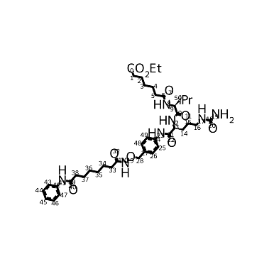 CCOC(=O)CCCCCC(=O)N[C@H](C(=O)N[C@@H](CCCNC(N)=O)C(=O)Nc1ccc(CONC(=O)CCCCCCC(=O)Nc2ccccc2)cc1)C(C)C